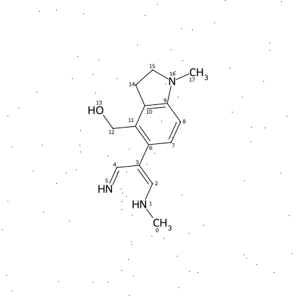 CN/C=C(\C=N)c1ccc2c(c1CO)CCN2C